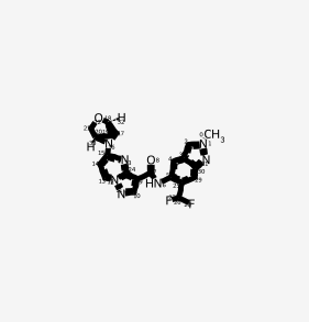 Cn1cc2cc(NC(=O)c3cnn4ccc(N5C[C@H]6C[C@@H]5CO6)nc34)c(C(F)F)cc2n1